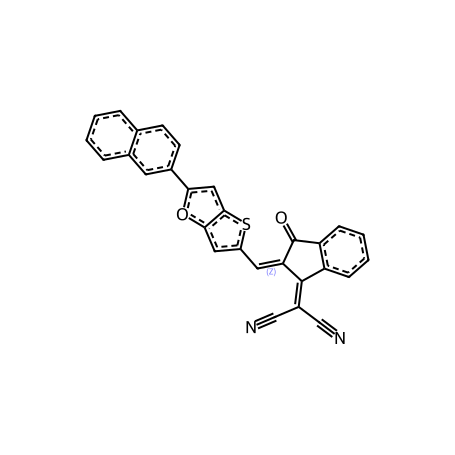 N#CC(C#N)=C1/C(=C/c2cc3oc(-c4ccc5ccccc5c4)cc3s2)C(=O)c2ccccc21